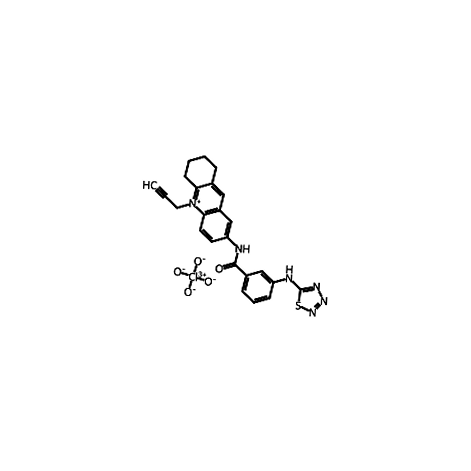 C#CC[n+]1c2c(cc3cc(NC(=O)c4cccc(Nc5nnns5)c4)ccc31)CCCC2.[O-][Cl+3]([O-])([O-])[O-]